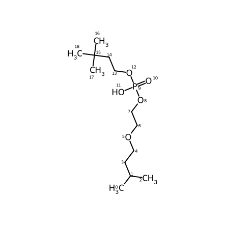 CC(C)CCOCCOP(=O)(O)OCCC(C)(C)C